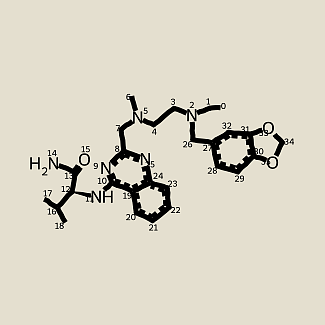 CCN(CCN(C)Cc1nc(N[C@H](C(N)=O)C(C)C)c2ccccc2n1)Cc1ccc2c(c1)OCO2